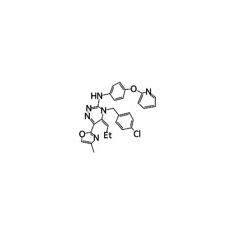 CCC=C1C(c2nc(C)co2)=NN=C(Nc2ccc(Oc3ccccn3)cc2)N1Cc1ccc(Cl)cc1